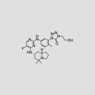 Cc1ccc(Nc2ncc(F)c(N[C@@H]3C[C@@H]4CCCN4C(C)(C)C3)n2)cc1-n1nnn(CCO)c1=O